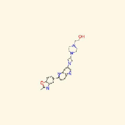 Cc1nc2cc(-c3ccc4ncc(N5CC(N6CCN(CCO)CC6)C5)cc4n3)ccc2o1